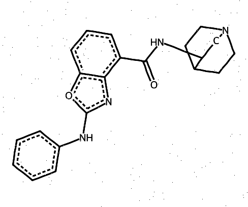 O=C(NC1CN2CCC1CC2)c1cccc2oc(Nc3ccccc3)nc12